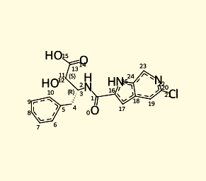 O=C(N[C@H](Cc1ccccc1)[C@H](O)C(=O)O)c1cc2cc(Cl)ncc2[nH]1